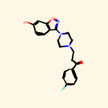 O=C(CCN1CCN(c2noc3cc(O)ccc23)CC1)c1ccc(F)cc1